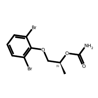 C[C@@H](COc1c(Br)cccc1Br)OC(N)=O